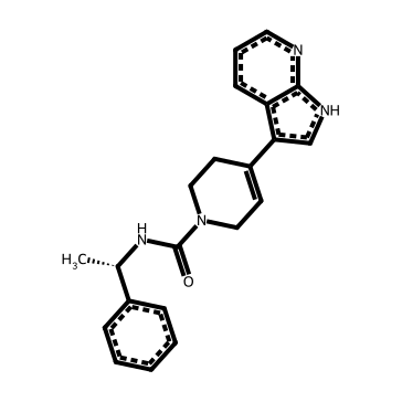 C[C@H](NC(=O)N1CC=C(c2c[nH]c3ncccc23)CC1)c1ccccc1